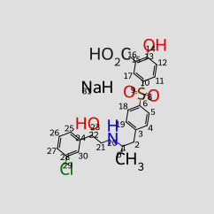 C[C@H](Cc1ccc(S(=O)(=O)c2ccc(O)c(C(=O)O)c2)cc1)NC[C@@H](O)c1cccc(Cl)c1.[NaH]